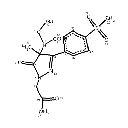 CC(C)(C)ON(C(=O)O)C1(C)C(=O)N(CC(N)=O)N=C1c1ccc(S(C)(=O)=O)cc1